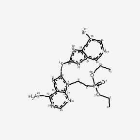 CCOP(=O)(CCn1c(Sc2nc3cncc(Br)c3s2)nc2c([AsH2])ncnc21)OCC